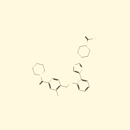 Cc1cc(C(=O)N2CCCCC2)ccc1COc1ccccc1-c1csc([C@H]2CC[C@H](C(=O)O)CC2)n1